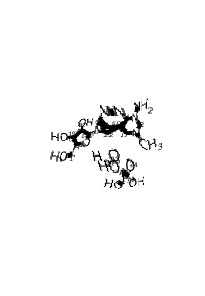 CN1CN(N)C2N=NC3=CC2(C1)CN3[C@@H]1O[C@H](CO)[C@@H](O)[C@H]1O.O.O=P(O)(O)O